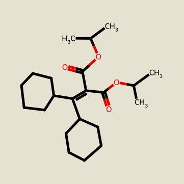 CC(C)OC(=O)C(C(=O)OC(C)C)=C(C1CCCCC1)C1CCCCC1